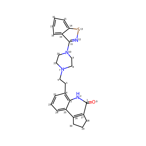 O=c1[nH]c2c(CCN3CCN(c4nsc5ccccc45)CC3)cccc2c2c1CCC2